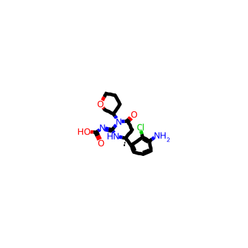 C[C@@]1(c2cccc(N)c2Cl)CC(=O)N(C2CCCOC2)/C(=N/C(=O)O)N1